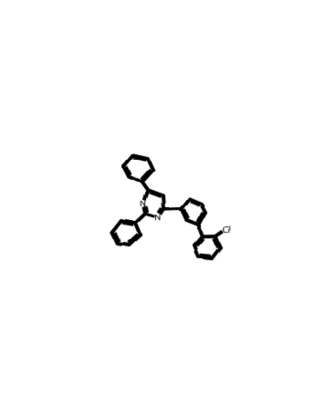 Clc1ccccc1-c1cccc(-c2cc(-c3ccccc3)nc(-c3ccccc3)n2)c1